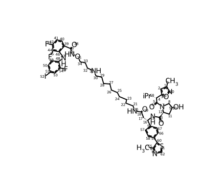 Cc1cc([C@H](C(=O)N2C[C@H](O)C[C@H]2C(=O)N[C@@H](CC(=O)NCCCCCCCCCCNCCCONC(=O)c2ccc(F)c(F)c2Nc2ccc(I)cc2F)c2ccc(-c3scnc3C)cc2)C(C)C)on1